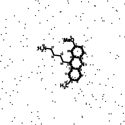 COc1ccc2nc3ccc(C)cc3c(CCCCN)c2c1